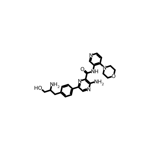 Nc1ncc(-c2ccc(CC(N)CO)cc2)nc1C(=O)Nc1cnccc1N1CCOCC1